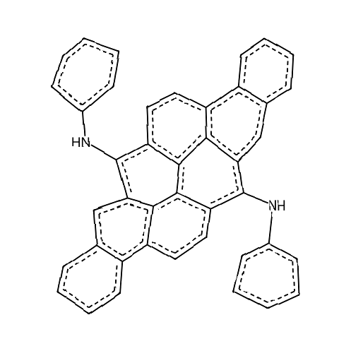 c1ccc(Nc2c3cc4ccccc4c4ccc5c(Nc6ccccc6)c6cc7ccccc7c7ccc2c(c67)c5c34)cc1